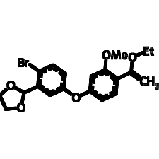 C=C(OCC)c1ccc(Oc2ccc(Br)c(C3OCCO3)c2)cc1OC